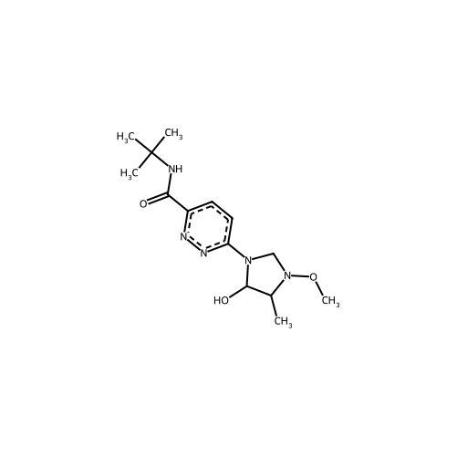 CON1CN(c2ccc(C(=O)NC(C)(C)C)nn2)C(O)C1C